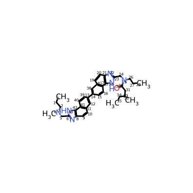 CCCN(C)Cc1nc2ccc3cc(-c4ccc5c(ccc6nc(CN(CCC)C(=O)C[C@@H](C)CC)[nH]c65)c4)ccc3c2[nH]1